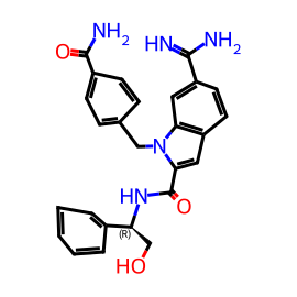 N=C(N)c1ccc2cc(C(=O)N[C@@H](CO)c3ccccc3)n(Cc3ccc(C(N)=O)cc3)c2c1